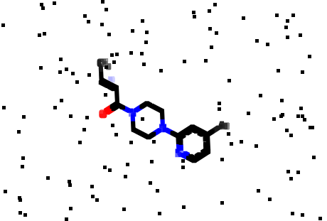 CC(=O)c1ccnc(N2CCN(C(=O)/C=C/C(F)(F)F)CC2)c1